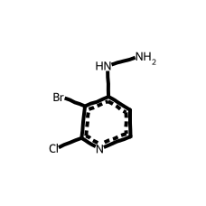 NNc1ccnc(Cl)c1Br